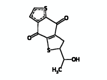 CC(O)C1CC2=C(S1)C(=O)c1ccsc1C2=O